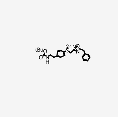 CC(C)(C)OC(=O)NCCc1ccc([S+]([O-])Cc2noc(Cc3ccccc3)n2)cc1